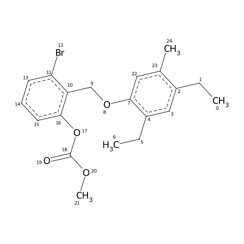 CCc1cc(CC)c(OCc2c(Br)cccc2OC(=O)OC)cc1C